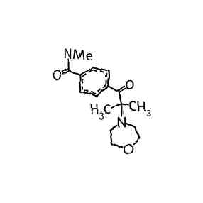 CNC(=O)c1ccc(C(=O)C(C)(C)N2CCOCC2)cc1